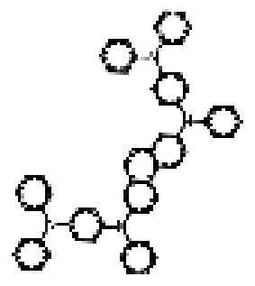 c1ccc(N(c2ccccc2)c2ccc(N(c3ccccc3)c3ccc4c(ccc5cc(N(c6ccccc6)c6ccc(N(c7ccccc7)c7ccccc7)cc6)ccc54)c3)cc2)cc1